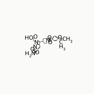 CC(C)Oc1ccc(S(=O)(=O)N2CCC(c3cn(CC(=O)O)c4nc(S(N)(=O)=O)ccc34)CC2)cc1